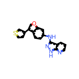 c1cnc2[nH]nc(Nc3ccc4c(-c5ccsc5)coc4c3)c2c1